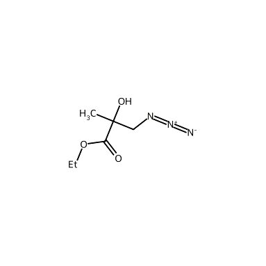 CCOC(=O)C(C)(O)CN=[N+]=[N-]